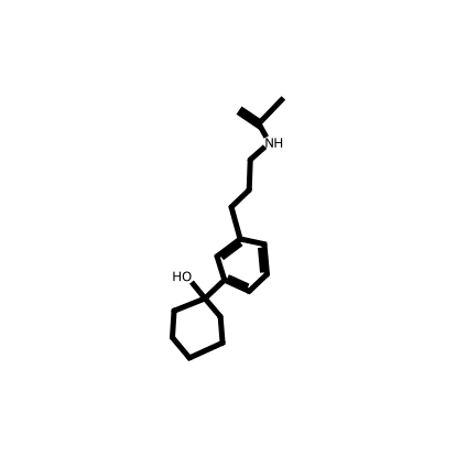 C=C(C)NCCCc1cccc(C2(O)CCCCC2)c1